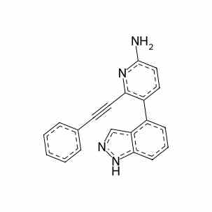 Nc1ccc(-c2cccc3[nH]ncc23)c(C#Cc2ccccc2)n1